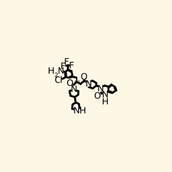 Nc1c(Cl)cc(C[C@@H](CC(=O)N2CCC(N3Cc4ccccc4NC3=O)CC2)C(=O)N2CCC(C3CCNCC3)CC2)cc1C(F)(F)F